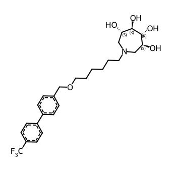 O[C@H]1[C@H](O)[C@@H](O)CN(CCCCCCOCc2ccc(-c3ccc(C(F)(F)F)cc3)cc2)C[C@@H]1O